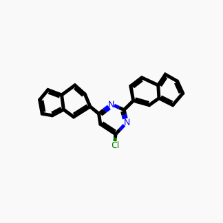 Clc1cc(-c2ccc3ccccc3c2)nc(-c2ccc3ccccc3c2)n1